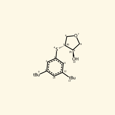 CC(C)(C)c1cc(S[C@@H]2COC[C@H]2O)cc(C(C)(C)C)c1